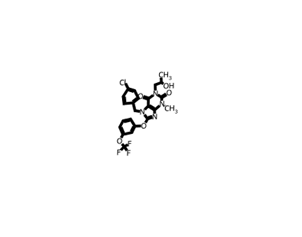 CC(O)Cn1c(=O)c2c(nc(Oc3cccc(OC(F)(F)F)c3)n2Cc2ccc(Cl)cc2)n(C)c1=O